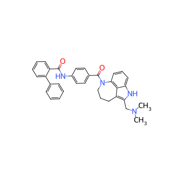 CN(C)Cc1[nH]c2cccc3c2c1CCCN3C(=O)c1ccc(NC(=O)c2ccccc2-c2ccccc2)cc1